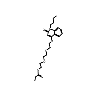 CCCCn1c(=O)cc(OCCOCCOCCSC(=O)CC)c2ccccc21